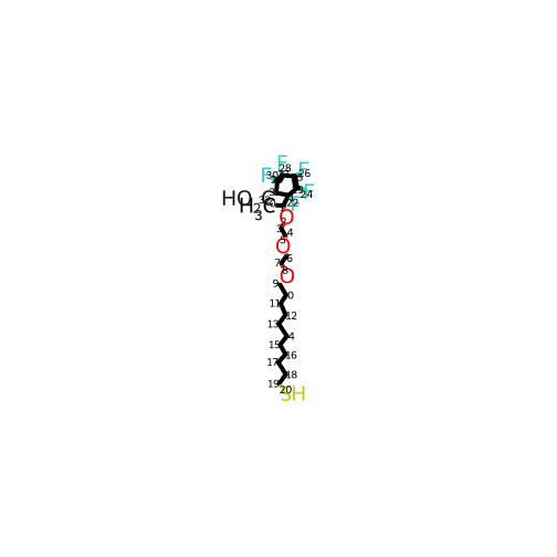 CC(OCCOCCOCCCCCCCCCCCS)C1(F)C(F)=C(F)C(F)=C(F)C1C(=O)O